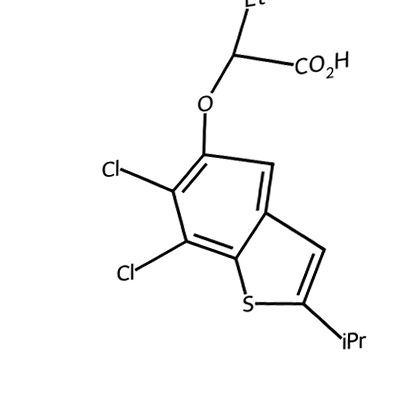 CCC(Oc1cc2cc(C(C)C)sc2c(Cl)c1Cl)C(=O)O